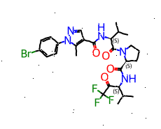 Cc1c(C(=O)N[C@H](C(=O)N2CCC[C@H]2C(=O)N[C@H](C(=O)C(F)(F)F)C(C)C)C(C)C)cnn1-c1ccc(Br)cc1